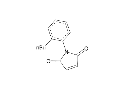 CCCCc1ccccc1N1C(=O)C=CC1=O